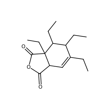 CCC1=CC2C(=O)OC(=O)C2(CC)C(CC)C1CC